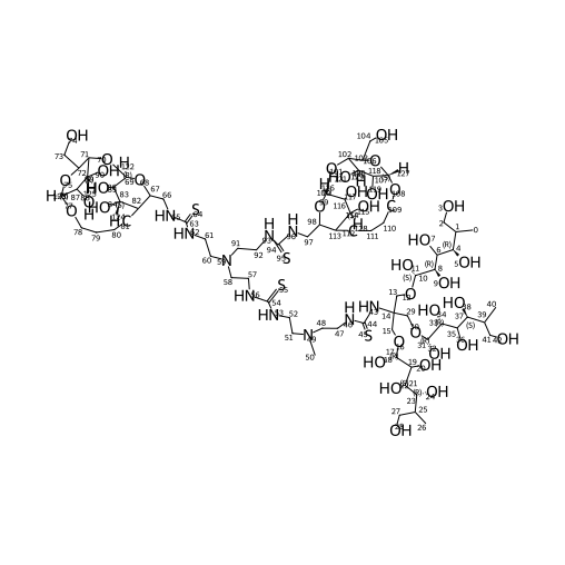 CC(CO)[C@@H](O)C(O)[C@@H](O)[C@@H](O)OCC(CO[C@@H](O)C(O)[C@@H](O)[C@H](O)C(C)CO)(CO[C@@H](O)[C@H](O)C(O)[C@@H](O)C(C)CO)NC(=S)NCCN(C)CCNC(=S)NCCN(CCNC(=S)NCC1O[C@@H]2OC3C(CO)O[C@H](OCCCCC1[C@H](O)C2O)C(O)[C@H]3O)CCNC(=S)NCC1O[C@@H]2OC3C(CO)O[C@H](OCCCCC1[C@H](O)C2O)C(O)[C@H]3O